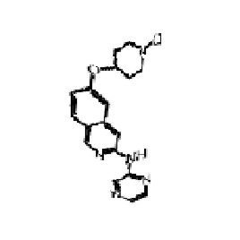 ClN1CCC(Oc2ccc3cnc(Nc4cnccn4)cc3c2)CC1